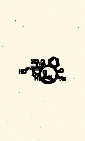 CC(=O)N1C(=O)c2ccccc2C(=O)[C@@H]2[C@H](O)[C@@H](CO)O[C@H]2n2ccc1nc2=O